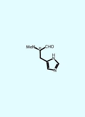 CN[C@@H](C=O)Cc1cnc[nH]1